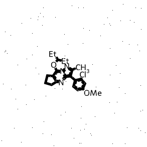 CCC(CC)Oc1c2c(nc3c(-c4ccc(OC)cc4Cl)c(C)nn13)CCC2